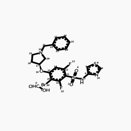 O=CO.O=S(=O)(Nc1cscn1)c1c(F)cc(O[C@H]2CCN(Cc3ccccc3)C2)c(Br)c1F